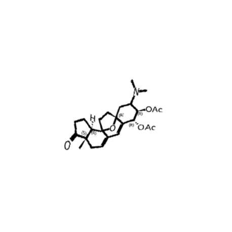 CC(=O)O[C@@H]1C2=CC3=CC[C@]4(C)C(=O)CC[C@H]4C34CC[C@]2(CC(N(C)C)[C@H]1OC(C)=O)O4